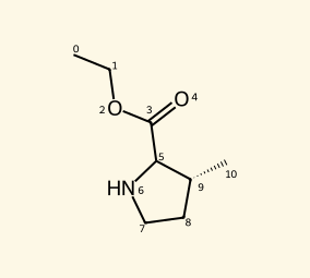 CCOC(=O)C1NCC[C@H]1C